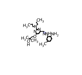 CCCN(CCC)c1nc(/C=N/Nc2cc(C)ccc2N)cc(OCC(C)(C)O)n1